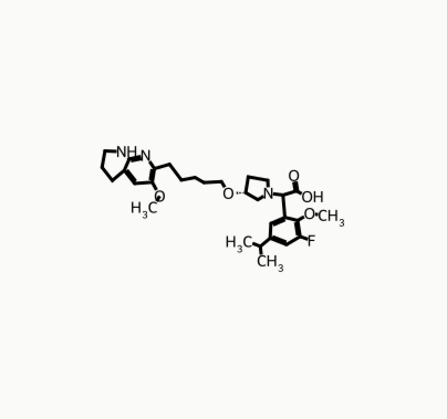 COc1cc2c(nc1CCCCCO[C@@H]1CCN(C(C(=O)O)c3cc(C(C)C)cc(F)c3OC)C1)NCCC2